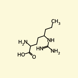 CCCC(CCC(N)C(=O)O)NC(=N)N